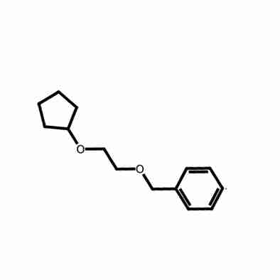 [c]1ccc(COCCOC2CCCC2)cc1